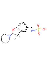 CC1(C)c2cc(CNS(=O)(=O)O)ccc2OC1N1CCCCC1